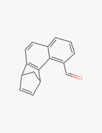 O=Cc1cccc2ccc3c(c12)C1C=CC3C1